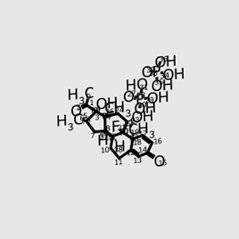 CC(=O)[C@@]1(O)[C@H](C)C[C@H]2[C@@H]3CCC4=CC(=O)C=C[C@]4(C)[C@@]3(F)[C@@H](O)C[C@@]21C.O=P(O)(O)O.O=P(O)(O)O